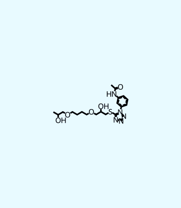 CC(=O)Nc1cccc(-n2nnnc2SCC(O)COCCCCOCC(C)O)c1